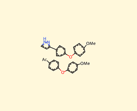 COc1ccc(Oc2ccc(-c3cc[nH]n3)cc2)cc1.COc1ccc(Oc2ccc(C(C)=O)cc2)cc1